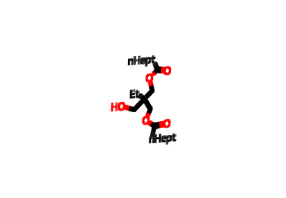 CCCCCCCC(=O)OCC(CC)(CO)COC(=O)CCCCCCC